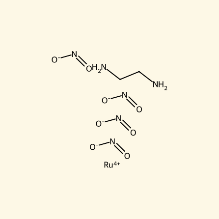 NCCN.O=N[O-].O=N[O-].O=N[O-].O=N[O-].[Ru+4]